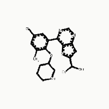 CCC(O)c1cc2ncnc(-c3cc(Cl)cc(C)c3OC3CCCNC3)c2s1